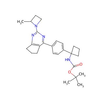 CC1CCN1c1nc2c(c(-c3ccc(C4(NC(=O)OC(C)(C)C)CCC4)cc3)n1)CCC2